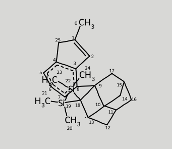 CC1=Cc2c(cccc2C23CC4C[C](CC(C4)C2)C32[Si](C)(C)[Si]2(C)C)C1